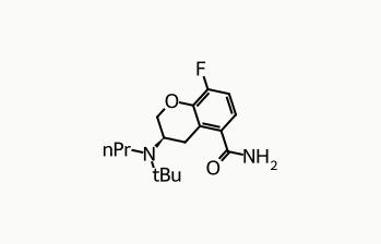 CCCN([C@H]1COc2c(F)ccc(C(N)=O)c2C1)C(C)(C)C